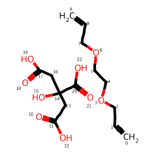 C=CCOCCOCC=C.O=C(O)CC(O)(CC(=O)O)C(=O)O